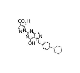 O=C(O)c1cnn(-c2nc(O)c3c(cnn3Cc3ccc(C4CCCCC4)cc3)n2)c1